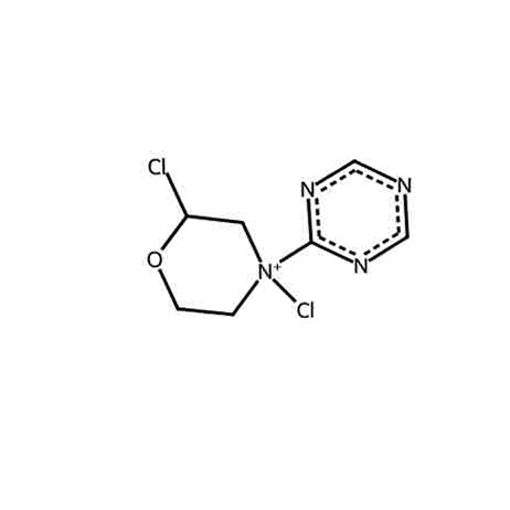 ClC1C[N+](Cl)(c2ncncn2)CCO1